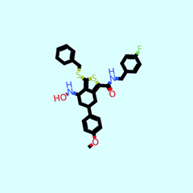 COc1ccc(C2Cc3c(C(=O)NCC4C=CC(F)=CC4)sc(SCC4=CC=CCC4)c3C(NO)C2)cc1